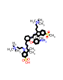 CC1(C)C(/C=C/C2=C(Oc3ccc(N)cc3)C(=C/C=C3/C(CCC[N+](C)(C)C)c4ccc(S(C)(=O)=O)cc4C3(C)C)/CCC2)=[N+](CCC[N+](C)(C)C)c2ccc(S(=O)(=O)O)cc21